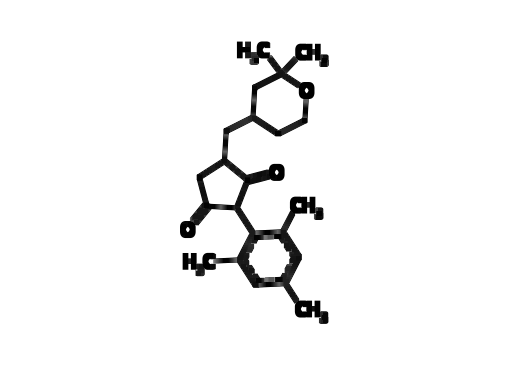 Cc1cc(C)c(C2C(=O)CC(CC3CCOC(C)(C)C3)C2=O)c(C)c1